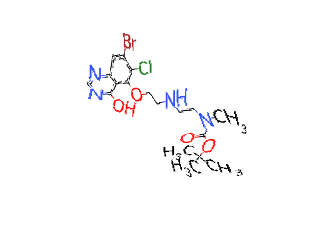 CN(CCNCCOc1c(Cl)c(Br)cc2ncnc(O)c12)C(=O)OC(C)(C)C